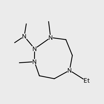 CCN1CCN(C)N(N(C)C)N(C)CC1